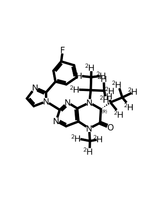 [2H]C([2H])([2H])N1C(=O)[C@@H](C([2H])([2H])C([2H])([2H])[2H])N(C([2H])(C([2H])([2H])[2H])C([2H])([2H])[2H])c2nc(-n3ccnc3-c3cccc(F)c3)ncc21